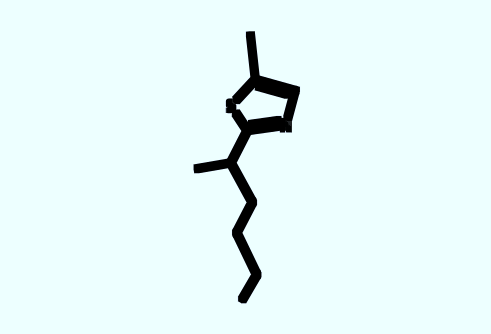 CCCCC(C)c1ncc(C)s1